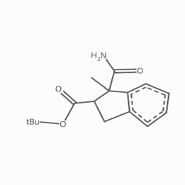 CC(C)(C)OC(=O)C1Cc2ccccc2C1(C)C(N)=O